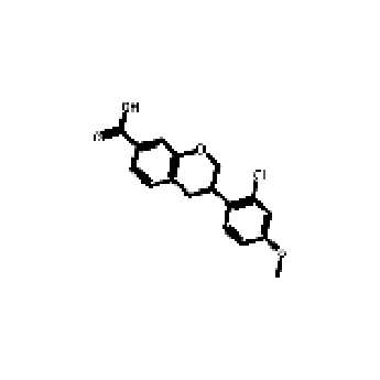 COc1ccc(C2COc3cc(C(=O)O)ccc3C2)c(Cl)c1